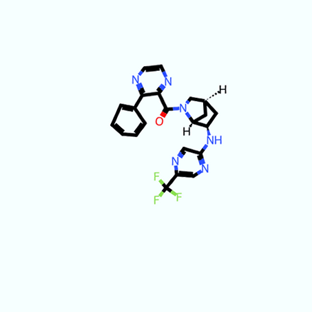 O=C(c1nccnc1-c1ccccc1)N1C[C@H]2C[C@@H](Nc3cnc(C(F)(F)F)cn3)[C@@H]1C2